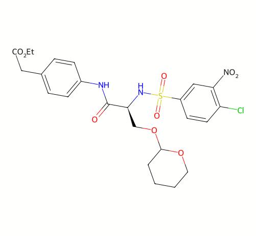 CCOC(=O)Cc1ccc(NC(=O)[C@H](COC2CCCCO2)NS(=O)(=O)c2ccc(Cl)c([N+](=O)[O-])c2)cc1